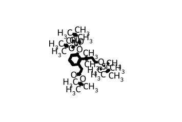 CC(C)(C)OC(=O)Cc1cccc(OP(=O)(OC(C)(C)C)OC(C)(C)C)c1C(C)(C)CCO[Si](C)(C)C(C)(C)C